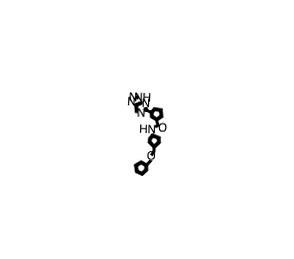 O=C(Nc1ccc(COCc2ccccc2)cc1)c1cccc(-c2ncc3nn[nH]c3n2)c1